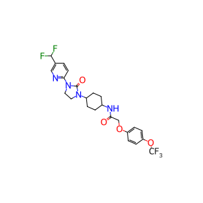 O=C(COc1ccc(OC(F)(F)F)cc1)NC1CCC(N2CCN(c3ccc(C(F)F)cn3)C2=O)CC1